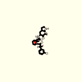 O=C1NCCC1CC(NC(=O)C1C2CCC(CC2(F)F)N1C(=O)C(F)(F)c1cccc(Cl)c1)C(=O)CF